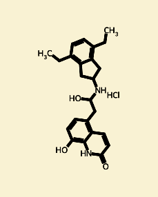 CCc1ccc(CC)c2c1CC(NC(O)Cc1ccc(O)c3[nH]c(=O)ccc13)C2.Cl